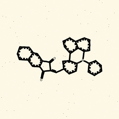 O=C1C(=Cc2ccc3c(c2)-c2cccc4cccc(c24)N3c2ccccc2)C(=O)c2cc3ccccc3cc21